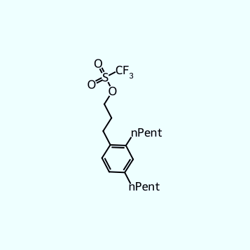 CCCCCc1ccc(CCCOS(=O)(=O)C(F)(F)F)c(CCCCC)c1